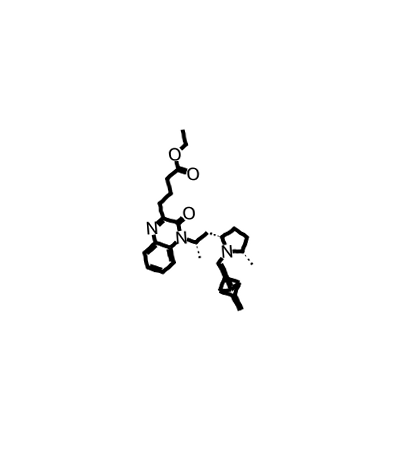 C=C1C2CC1C2=CN1[C@H](C[C@H](C)n2c(=O)c(CCCC(=O)OCC)nc3ccccc32)CC[C@@H]1C